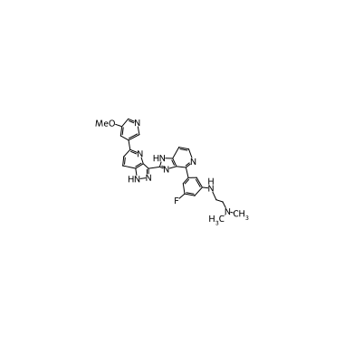 COc1cncc(-c2ccc3[nH]nc(-c4nc5c(-c6cc(F)cc(NCCN(C)C)c6)nccc5[nH]4)c3n2)c1